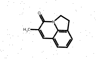 Cc1cc2cccc3c2n(c1=O)CC3